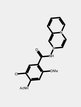 COc1cc(NC(C)=O)c(Cl)cc1C(=O)NN1C=CN2C=CC=CC2=C1